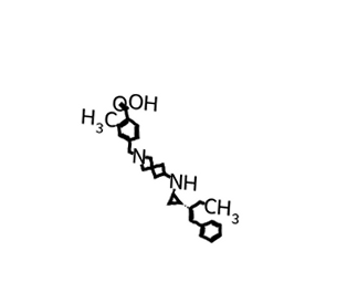 CC/C(=C\c1ccccc1)[C@@H]1C[C@H]1NC1CC2(C1)CN(Cc1ccc(C(=O)O)c(C)c1)C2